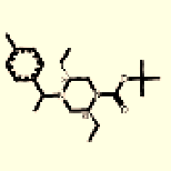 CC[C@H]1CN(C(C)c2ccc(C)cc2)[C@H](CC)CN1C(=O)OC(C)(C)C